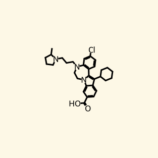 CC1CCCN1CCCN1CCn2c(c(C3CCCCC3)c3ccc(C(=O)O)cc32)-c2ccc(Cl)cc21